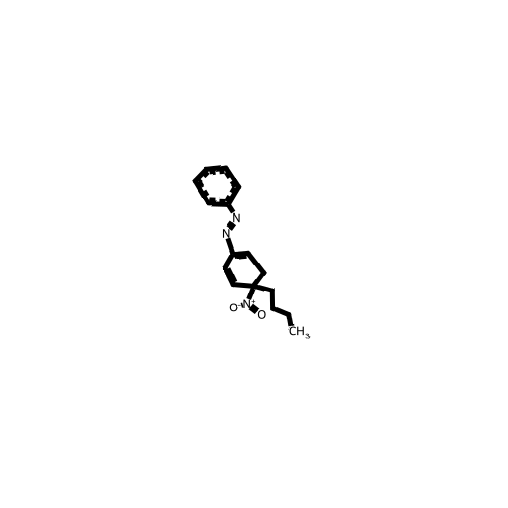 CCCCC1([N+](=O)[O-])C=CC(N=Nc2ccccc2)=CC1